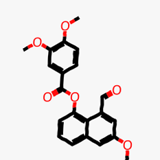 COc1cc(C=O)c2c(OC(=O)c3ccc(OC)c(OC)c3)cccc2c1